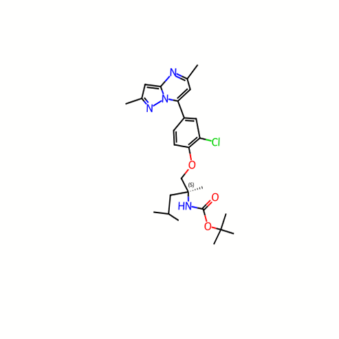 Cc1cc(-c2ccc(OC[C@](C)(CC(C)C)NC(=O)OC(C)(C)C)c(Cl)c2)n2nc(C)cc2n1